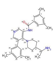 Cc1cc(C)cc(C(=O)Nc2cncc(-c3cc(C)cc(C)c3)c2N2CCC(C(C)N)CC2)c1